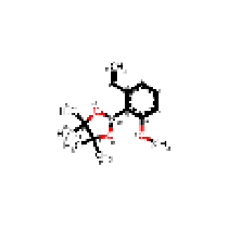 C=Cc1cccc(OC)c1B1OC(C)(C)C(C)(C)O1